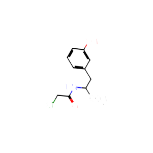 O=C(CCl)NC(Cc1cccc(O)c1)C(=O)O